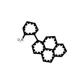 O=[N+]([O-])c1ccccc1-c1ccc2ccc3cccc4ccc1c2c34